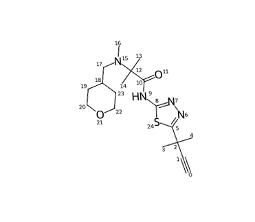 C#CC(C)(C)c1nnc(NC(=O)C(C)(C)N(C)CC2CCOCC2)s1